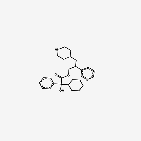 O=C(OCC(CC1CCNCC1)c1cncnc1)C(O)(c1ccccc1)C1CCCCC1